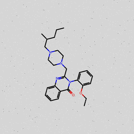 CCCC(C)CN1CCN(Cc2nc3ccccc3c(=O)n2-c2ccccc2OCC)CC1